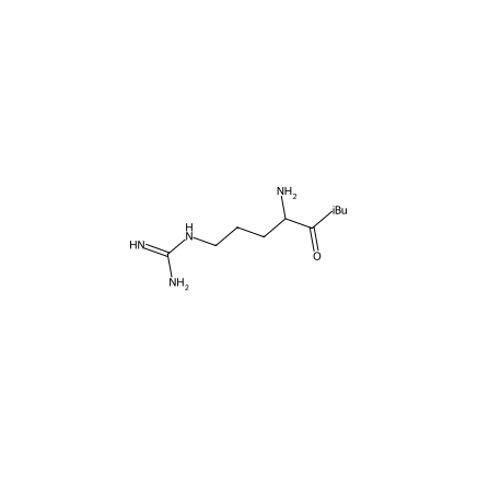 CCC(C)C(=O)C(N)CCCNC(=N)N